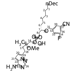 CCCCCCCCCCCCCCCC[C@@H](COP(=O)(O)OC[C@](C)(CCc1ccc2c(N)ncnn12)OC)OCc1cc(F)cc(C#N)c1